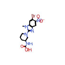 Cn1c(N2CCCC(NC(=O)O)C2)nc2cc([N+](=O)[O-])c(Br)cc21